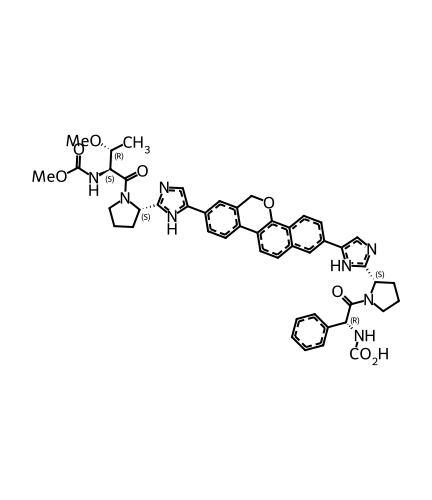 COC(=O)N[C@H](C(=O)N1CCC[C@H]1c1ncc(-c2ccc3c(c2)COc2c-3ccc3cc(-c4cnc([C@@H]5CCCN5C(=O)[C@H](NC(=O)O)c5ccccc5)[nH]4)ccc23)[nH]1)[C@@H](C)OC